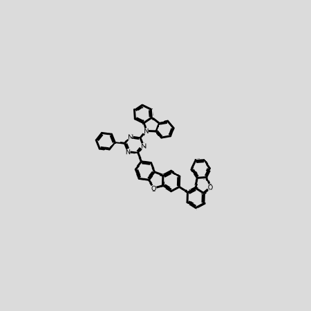 c1ccc(-c2nc(-c3ccc4oc5cc(-c6cccc7oc8ccccc8c67)ccc5c4c3)nc(-n3c4ccccc4c4ccccc43)n2)cc1